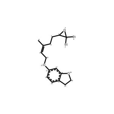 CCC1(CC)OC1CCC(C)=CCOc1ccc2c(c1)OCC2